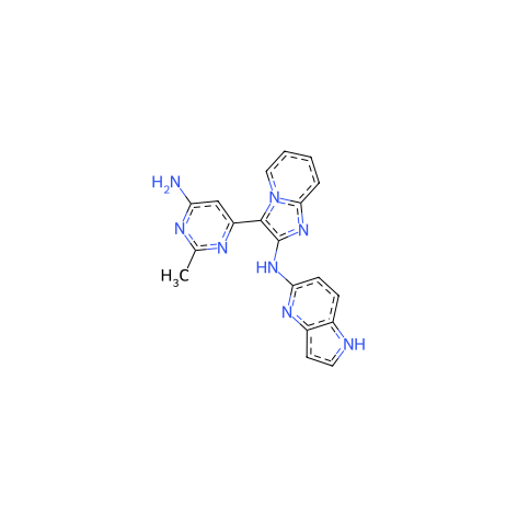 Cc1nc(N)cc(-c2c(Nc3ccc4[nH]ccc4n3)nc3ccccn23)n1